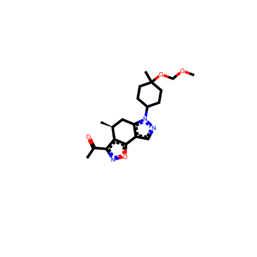 COCOC1(C)CCC(n2ncc3c2C[C@H](C)c2c(C(C)=O)noc2-3)CC1